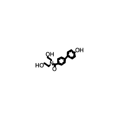 O=C(c1ccc(-c2ccc(O)cc2)cc1)N(CCO)CCO